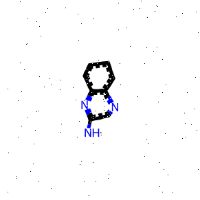 [NH]c1cnc2ccccc2n1